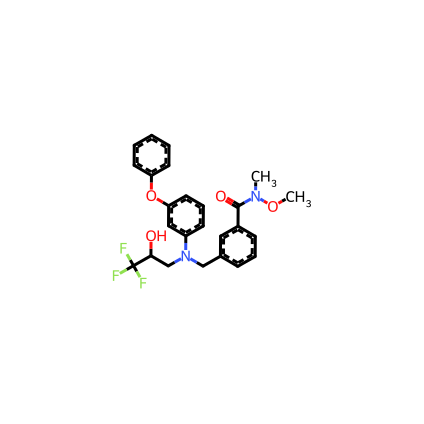 CON(C)C(=O)c1cccc(CN(CC(O)C(F)(F)F)c2cccc(Oc3ccccc3)c2)c1